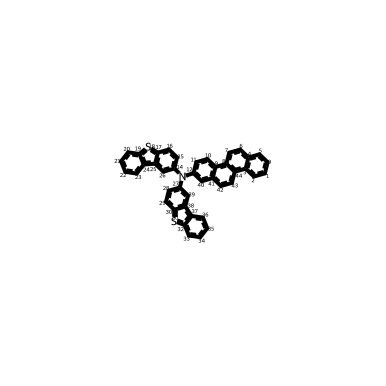 c1ccc2c(c1)ccc1c3ccc(N(c4ccc5sc6ccccc6c5c4)c4ccc5sc6ccccc6c5c4)cc3ccc21